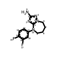 Nc1nc2n(n1)CCCCN2c1ccc(F)c(F)c1